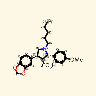 COc1ccc([C@@H]2[C@@H](C(=O)O)[C@@H](c3ccc4c(c3)OCO4)CN2CCCCC(C)C)cc1